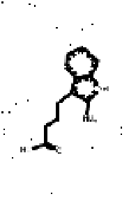 Nc1[nH]c2ccccc2c1CCCC(=O)O